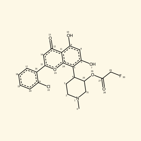 CN1CCC(c2c(O)cc(O)c3c(=O)cc(-c4ccccc4Cl)oc23)C(OC(=O)CF)C1